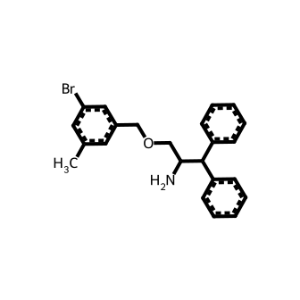 Cc1cc(Br)cc(COCC(N)C(c2ccccc2)c2ccccc2)c1